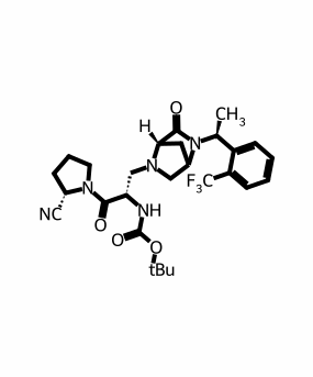 C[C@@H](c1ccccc1C(F)(F)F)N1C(=O)[C@@H]2CC1CN2C[C@H](NC(=O)OC(C)(C)C)C(=O)N1CCC[C@H]1C#N